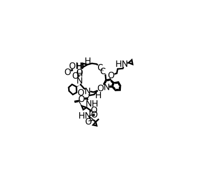 C=C[C@@H]1C[C@]1(NC(=O)[C@@H]1C[C@@H]2CN1C(=O)[C@H](C1CCCCC1)NC(=O)O[C@@H]1C[C@H]1CCCCCc1c(nc3ccccc3c1OCCCNC1CC1)O2)C(=O)NS(=O)(=O)C1(C)CC1.O=CO